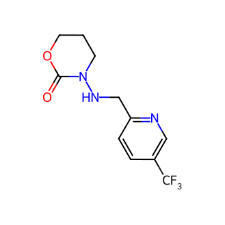 O=C1OCCCN1NCc1ccc(C(F)(F)F)cn1